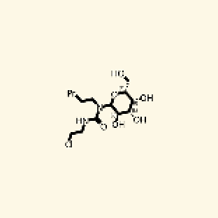 CC(C)CCN(C(=O)NCCCl)C1O[C@H](CO)[C@H](O)[C@H](O)[C@H]1O